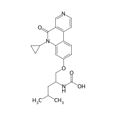 CC(C)CC(COc1ccc2c3ccncc3c(=O)n(C3CC3)c2c1)NC(=O)O